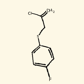 C=C(Cl)CSc1ccc(F)cc1